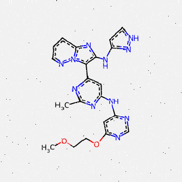 COCCOc1cc(Nc2cc(-c3c(Nc4cc[nH]n4)nc4cccnn34)nc(C)n2)ncn1